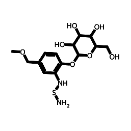 COCc1ccc(OC2OC(CO)C(O)C(O)C2O)c(NSN)c1